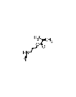 C=C(C)C(=O)OCCCNC#N